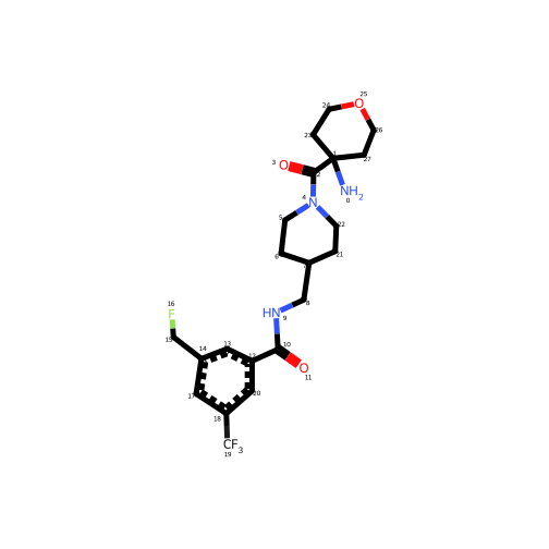 NC1(C(=O)N2CCC(CNC(=O)c3cc(CF)cc(C(F)(F)F)c3)CC2)CCOCC1